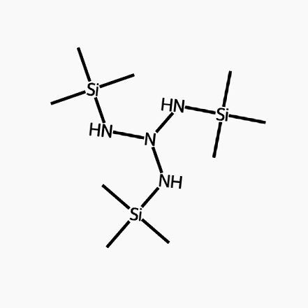 C[Si](C)(C)NN(N[Si](C)(C)C)N[Si](C)(C)C